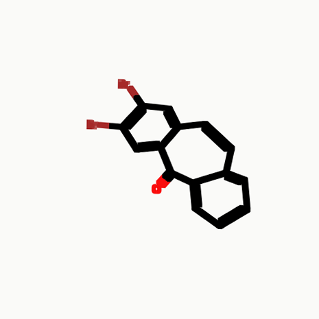 O=c1c2ccccc2ccc2cc(Br)c(Br)cc12